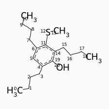 CCCCc1cc(CCCC)c(SC)c(CCCC)c1O